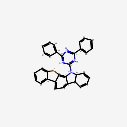 C1=CC2c3ccc4c(sc5ccccc54)c3N(c3nc(-c4ccccc4)nc(-c4ccccc4)n3)C2C=C1